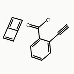 C#Cc1ccccc1C(=O)Cl.c1cc2ccc1-2